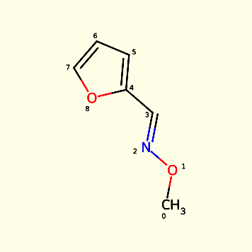 CO/N=C/c1ccco1